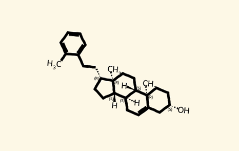 Cc1ccccc1CC[C@H]1CC[C@H]2[C@@H]3CC=C4C[C@@H](O)CC[C@]4(C)[C@H]3CC[C@]12C